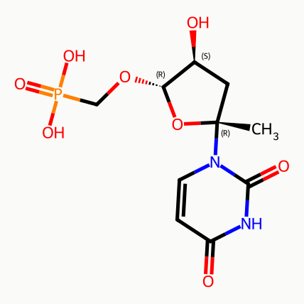 C[C@]1(n2ccc(=O)[nH]c2=O)C[C@H](O)[C@@H](OCP(=O)(O)O)O1